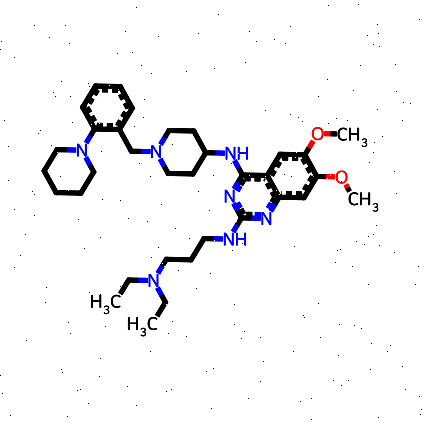 CCN(CC)CCCNc1nc(NC2CCN(Cc3ccccc3N3CCCCC3)CC2)c2cc(OC)c(OC)cc2n1